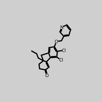 CCCC12CCC(=O)C=C1c1c(cc(OCc3cccnc3)c(Cl)c1Cl)C2